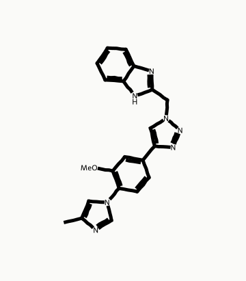 COc1cc(-c2cn(Cc3nc4ccccc4[nH]3)nn2)ccc1-n1cnc(C)c1